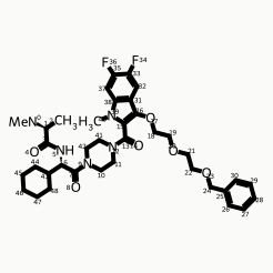 CN[C@@H](C)C(=O)N[C@H](C(=O)N1CCN(C(=O)c2c(OCCOCCOCc3ccccc3)c3cc(F)c(F)cc3n2C)CC1)C1CCCCC1